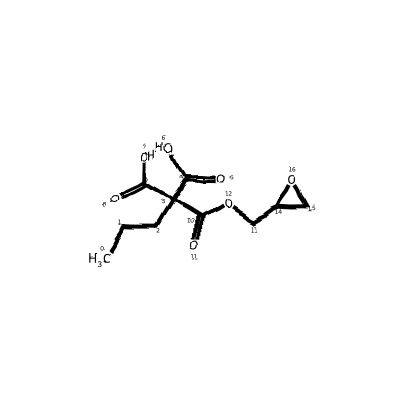 CCCC(C(=O)O)(C(=O)O)C(=O)OCC1CO1